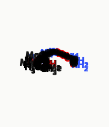 CO[C@H]1C[C@@H]2CC[C@@H](C)[C@@](O)(O2)C(=O)C(=O)N2CCCC[C@H]2C(=O)O[C@H]([C@H](N)C[C@@H]2CCC(n3nncc3-c3cccc(-c4cnc(N5CCN(Cc6cn(CCOCCOCCOCCOCCOCCC(=O)NCCCCn7nc(-c8ccc9oc(N)nc9c8)c8c(N)ncnc87)nn6)CC5)nc4)c3)[C@H](OC)C2)CC(=O)[C@H](C)/C=C(\C)[C@@H](O)[C@@H](OC)C(=O)[C@H](C)C[C@H](C)/C=C/C=C/C=C/1C